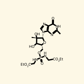 CCOC(=O)CNP(=O)(NCC(=O)OCC)OC[C@H]1O[C@@H](n2cnc3c(=O)[nH]c(C)nc32)[C@@](C)(O)C1O